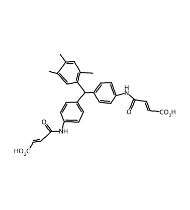 Cc1cc(C)c(C(c2ccc(NC(=O)/C=C/C(=O)O)cc2)c2ccc(NC(=O)/C=C/C(=O)O)cc2)cc1C